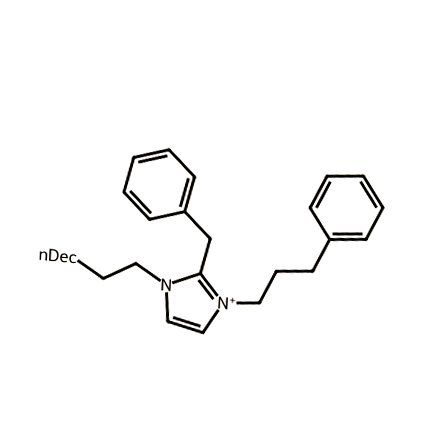 CCCCCCCCCCCCn1cc[n+](CCCc2ccccc2)c1Cc1ccccc1